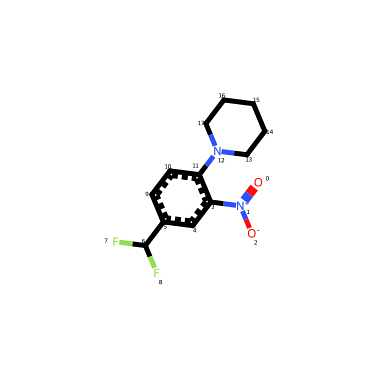 O=[N+]([O-])c1cc(C(F)F)ccc1N1CCCCC1